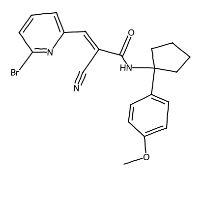 COc1ccc(C2(NC(=O)C(C#N)=Cc3cccc(Br)n3)CCCC2)cc1